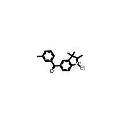 CC[N+]1=C(C)C(C)(I)c2cc(C(=O)c3cccc(C)c3)ccc21